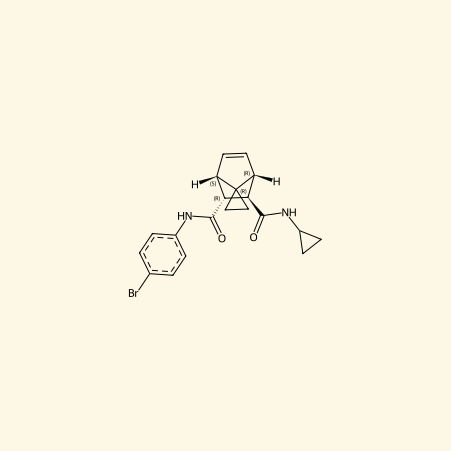 O=C(NC1CC1)[C@H]1[C@H](C(=O)Nc2ccc(Br)cc2)[C@@H]2C=C[C@H]1C21CC1